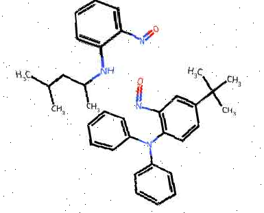 CC(C)(C)c1ccc(N(c2ccccc2)c2ccccc2)c(N=O)c1.CC(C)CC(C)Nc1ccccc1N=O